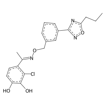 CCCc1nc(-c2cccc(CO/N=C(\C)c3ccc(O)c(O)c3Cl)c2)no1